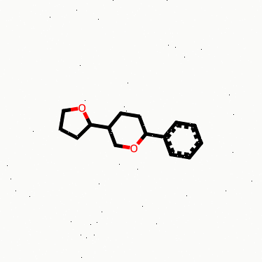 c1ccc(C2CCC(C3CCCO3)CO2)cc1